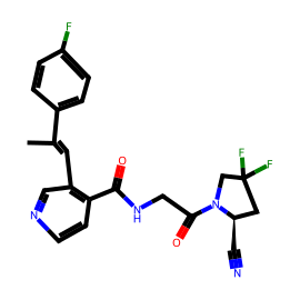 C/C(=C\c1cnccc1C(=O)NCC(=O)N1CC(F)(F)C[C@H]1C#N)c1ccc(F)cc1